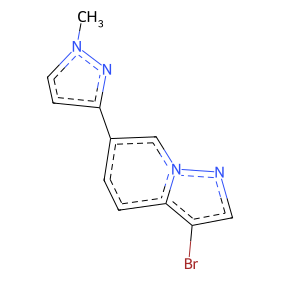 Cn1ccc(-c2ccc3c(Br)cnn3c2)n1